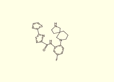 O=C(Nc1cc(F)ccc1N1CCCC2(CCNC2)C1)c1csc(-c2cccs2)n1